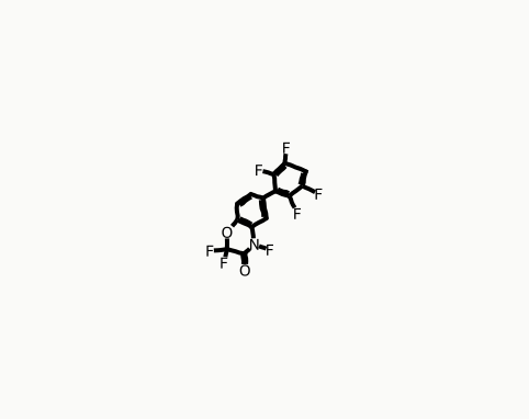 O=C1N(F)c2cc(-c3c(F)c(F)cc(F)c3F)ccc2OC1(F)F